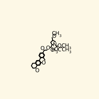 COCC1CC(C(=O)OCC(=O)c2ccc3c(c2)COc2cc4c(cc2-3)CCCC4=O)N(C(=O)OC(C)(C)C)C1